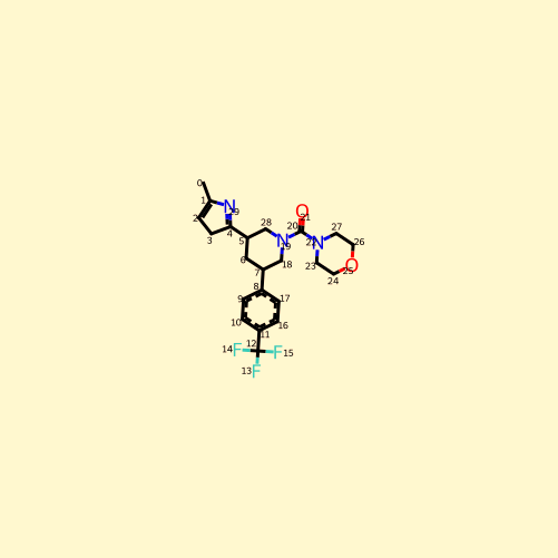 CC1=CCC(C2CC(c3ccc(C(F)(F)F)cc3)CN(C(=O)N3CCOCC3)C2)=N1